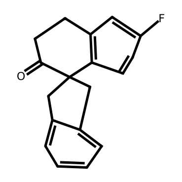 O=C1CCc2cc(F)ccc2C12Cc1ccccc1C2